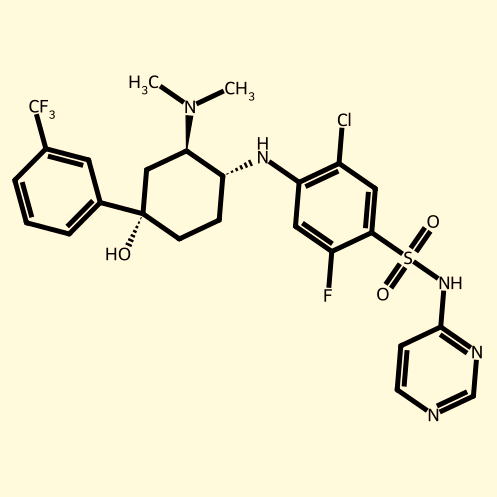 CN(C)[C@@H]1C[C@](O)(c2cccc(C(F)(F)F)c2)CC[C@H]1Nc1cc(F)c(S(=O)(=O)Nc2ccncn2)cc1Cl